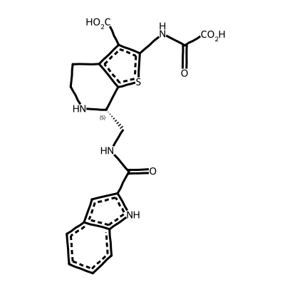 O=C(O)C(=O)Nc1sc2c(c1C(=O)O)CCN[C@H]2CNC(=O)c1cc2ccccc2[nH]1